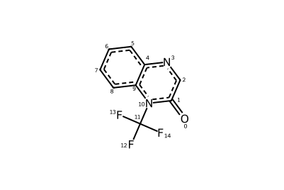 O=c1cnc2ccccc2n1C(F)(F)F